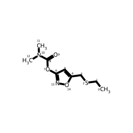 CCSCc1cc(OC(=O)N(C)C)no1